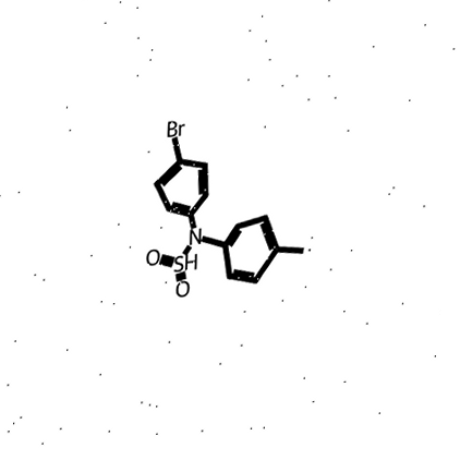 [CH2]c1ccc(N(c2ccc(Br)cc2)[SH](=O)=O)cc1